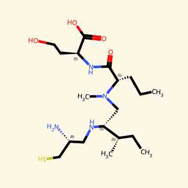 CCC[C@@H](C(=O)N[C@@H](CCO)C(=O)O)N(C)C[C@@H](NC[C@@H](N)CS)[C@@H](C)CC